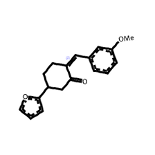 COc1cccc(/C=C2/CCC(c3ccco3)CC2=O)c1